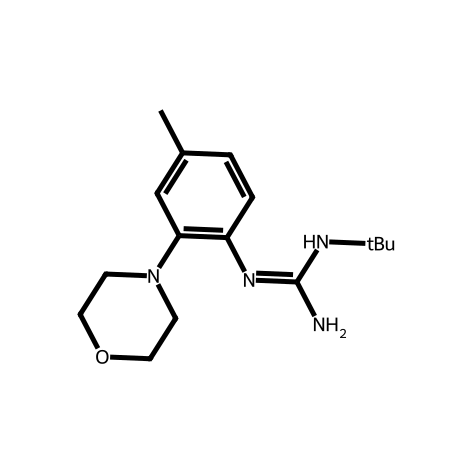 Cc1ccc(N=C(N)NC(C)(C)C)c(N2CCOCC2)c1